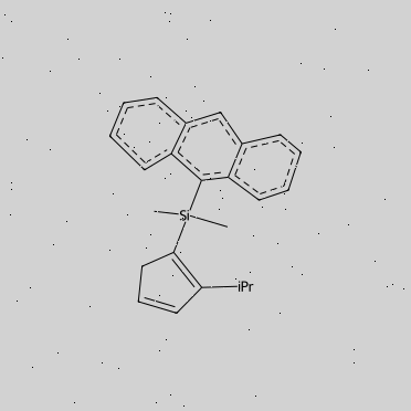 CC(C)C1=C([Si](C)(C)c2c3ccccc3cc3ccccc23)CC=C1